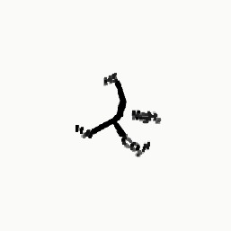 N[C@@H](CS)C(=O)O.[MgH2]